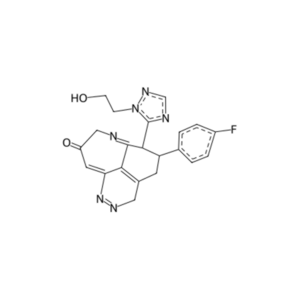 O=C1C=C2N=NCC3=C2C(=NC1)C(c1ncnn1CCO)C(c1ccc(F)cc1)C3